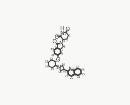 O=C1CCC(N2Cc3cc(O[C@H]4CCCCC4N4CC(c5ccc6ccccc6n5)C4)ccc3C2=O)C(=O)N1